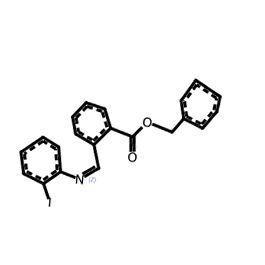 O=C(OCc1ccccc1)c1ccccc1/C=N\c1ccccc1I